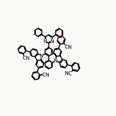 N#Cc1ccccc1-c1ccc2c(c1)c1cc(-c3ccccc3C#N)ccc1n2-c1ccccc1-c1ccc(-c2nc(-c3ccccc3)cc(-c3ccccc3)n2)cc1-n1c2ccc(-c3ccccc3C#N)cc2c2cc(-c3ccccc3C#N)ccc21